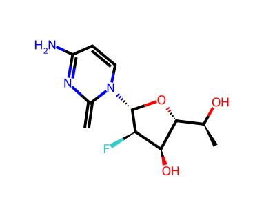 C=C1N=C(N)C=CN1[C@@H]1O[C@H]([C@H](C)O)[C@@H](O)[C@H]1F